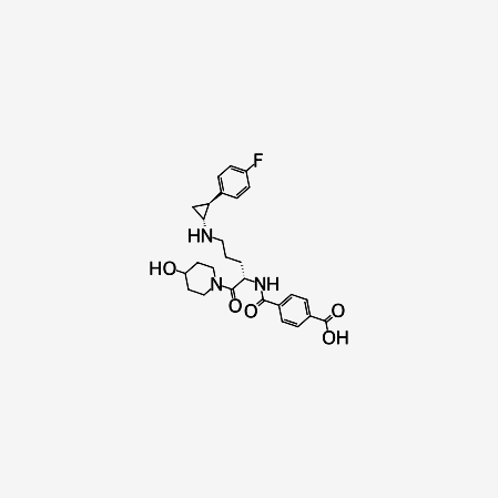 O=C(O)c1ccc(C(=O)N[C@@H](CCCN[C@@H]2C[C@H]2c2ccc(F)cc2)C(=O)N2CCC(O)CC2)cc1